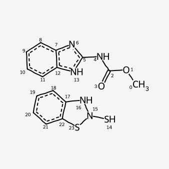 COC(=O)Nc1nc2ccccc2[nH]1.SN1Nc2ccccc2S1